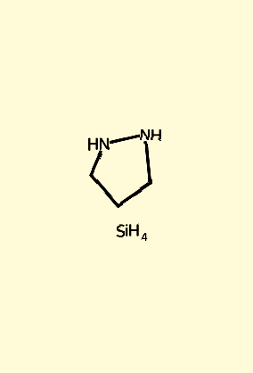 C1CNNC1.[SiH4]